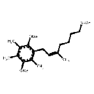 COc1c(C)c(C)c(OC)c(CC=C(C)CCCCNC(C)=O)c1C